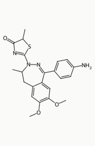 COc1cc2c(cc1OC)C(c1ccc(N)cc1)=NN(C1=NC(=O)C(C)S1)C(C)C2